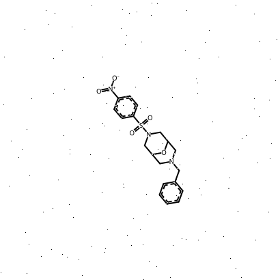 O=[N+]([O-])c1ccc(S(=O)(=O)N2CC3CN(Cc4ccccc4)CC(C2)O3)cc1